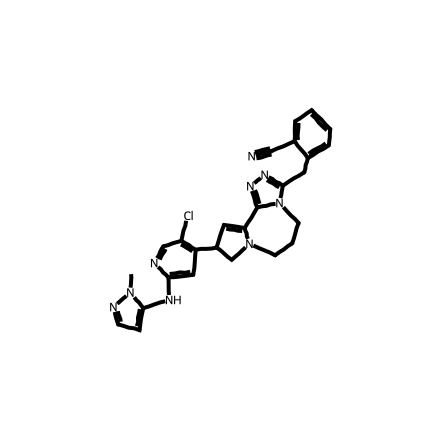 Cn1nccc1Nc1cc(C2C=C3c4nnc(Cc5ccccc5C#N)n4CCCN3C2)c(Cl)cn1